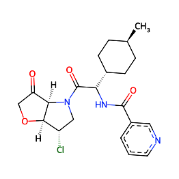 C[C@H]1CC[C@H](C(NC(=O)c2cccnc2)C(=O)N2C[C@H](Cl)[C@H]3OCC(=O)[C@H]32)CC1